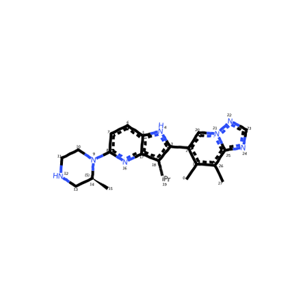 Cc1c(-c2[nH]c3ccc(N4CCNC[C@@H]4C)nc3c2C(C)C)cn2ncnc2c1C